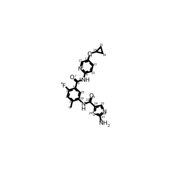 Cc1cc(F)c(C(=O)Nc2ccc(OC3CC3)cn2)cc1NC(=O)c1cnc(N)s1